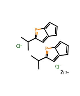 CC(C)C1=PC2=CC=CC2=C1.CC(C)C1=PC2=CC=CC2=C1.[Cl-].[Cl-].[Zr+2]